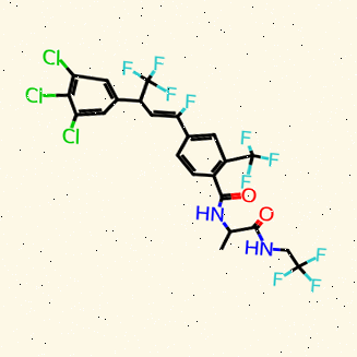 CC(NC(=O)c1ccc(/C(F)=C/C(c2cc(Cl)c(Cl)c(Cl)c2)C(F)(F)F)cc1C(F)(F)F)C(=O)NCC(F)(F)F